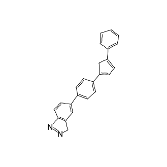 C1=C(c2ccccc2)CC(c2ccc(-c3ccc4c(c3)CN=N4)cc2)=C1